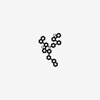 c1cc(-c2ccc(N(c3ccc(-c4ccccc4-c4cccc5oc6ccccc6c45)cc3)c3ccc(-c4cccc5ccccc45)c4oc5ccccc5c34)cc2)cc(-c2ccc3ccccc3c2)c1